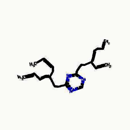 C=C/C=C(\C=C)Cc1ncnc(CC(/C=C\C)=C/C=C)n1